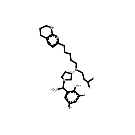 COc1c(F)cc(C(C)C)cc1C(C(=O)O)N1CC[C@H](N(CCCCCc2ccc3c(n2)NCCC3)CCC(F)F)C1